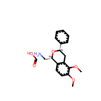 COc1ccc2c(c1OC)C[C@@H](c1ccccc1)O[C@H]2CN.O=CO